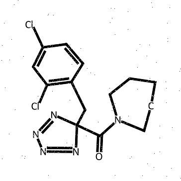 O=C(N1CCCCC1)C1(Cc2ccc(Cl)cc2Cl)N=NN=N1